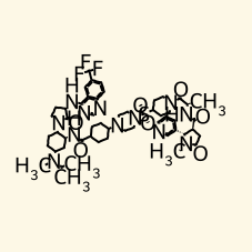 CC(C)N(C)[C@@H]1CC[C@H](N2CC[C@H](Nc3ncnc4ccc(C(F)(F)F)cc34)C2=O)[C@H](NC(=O)C2CCC(N3CCN(S(=O)(=O)C4CCN(C(=O)[C@H](C)NC(=O)[C@H]5CC(=O)N(C)[C@@H]5c5cccnc5)CC4)CC3)CC2)C1